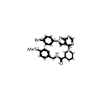 CSc1ccc(CNC(=O)C2CCCN(c3ncnc4nn(-c5ccc(Br)cc5)cc34)C2)cc1